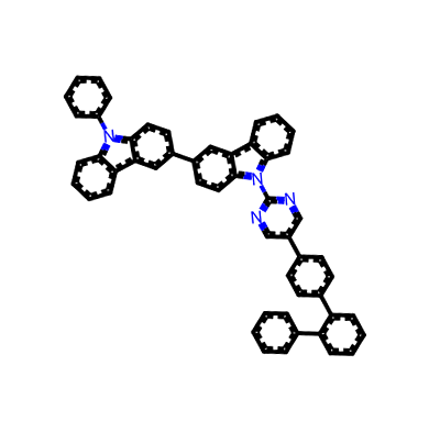 c1ccc(-c2ccccc2-c2ccc(-c3cnc(-n4c5ccccc5c5cc(-c6ccc7c(c6)c6ccccc6n7-c6ccccc6)ccc54)nc3)cc2)cc1